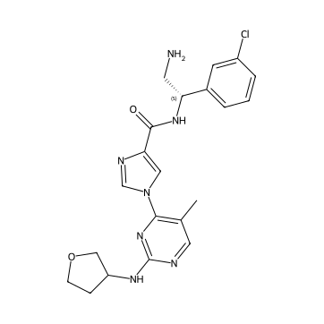 Cc1cnc(NC2CCOC2)nc1-n1cnc(C(=O)N[C@H](CN)c2cccc(Cl)c2)c1